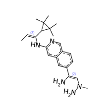 C/C=C(\Nc1cc2cc(/C(N)=C/N(C)N)ccc2cn1)C1C(C)(C)C1(C)C